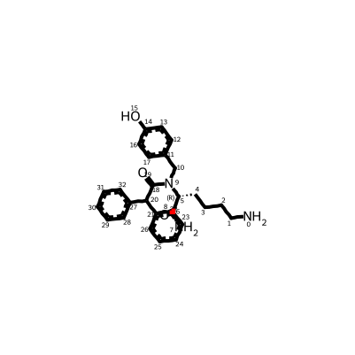 NCCCC[C@H](C(N)=O)N(Cc1ccc(O)cc1)C(=O)C(c1ccccc1)c1ccccc1